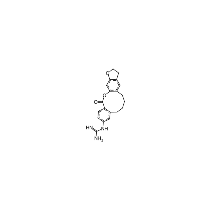 N=C(N)Nc1ccc2c(c1)CCCCc1cc3c(cc1OC2=O)OCC3